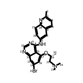 Cc1ccc2cc(Nc3ncnc4cc(Br)cc(O[C@H](C)CN(C)C)c34)ccc2n1